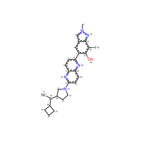 Cn1cc2cc(-c3ccc4nc(N5CCC(B(C#N)C6CCC6)C5)ccc4n3)c(O)c(F)c2n1